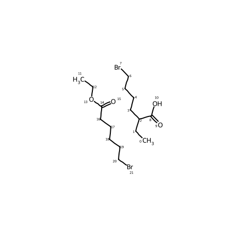 CCC(CCCCBr)C(=O)O.CCOC(=O)CCCCCBr